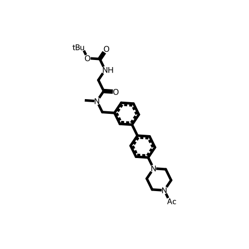 CC(=O)N1CCN(c2ccc(-c3cccc(CN(C)C(=O)CNC(=O)OC(C)(C)C)c3)cc2)CC1